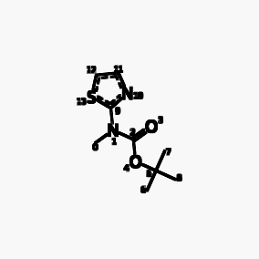 CN(C(=O)OC(C)(C)C)c1nccs1